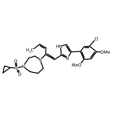 C/C=C\C(=C/c1nc(-c2cc(Cl)c(OC)cc2OC)c[nH]1)N1CCCN(S(=O)(=O)C2CC2)CC1